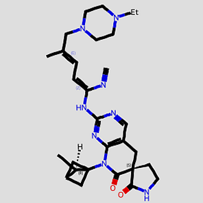 C=N/C(=C\C=C(/C)CN1CCN(CC)CC1)Nc1ncc2c(n1)N(C13CC(C1)[C@H]3C)C(=O)[C@]1(CCNC1=O)C2